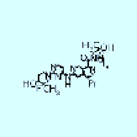 CC(C)c1cnc(C(=O)NCC(C)(C)O)c2cnc(Nc3ccnc(N4CC[C@@H](O)[C@@](C)(F)C4)n3)cc12